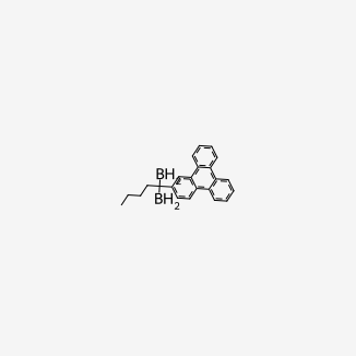 BC(B)(CCCC)c1ccc2c3ccccc3c3ccccc3c2c1